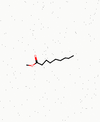 C[CH]CCCCCCC(=O)OC